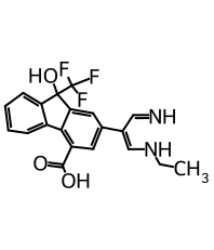 CCN/C=C(\C=N)c1cc(C(=O)O)c2c(c1)C(O)(C(F)(F)F)c1ccccc1-2